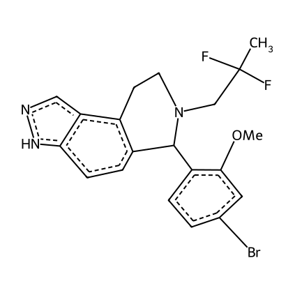 COc1cc(Br)ccc1C1c2ccc3[nH]ncc3c2CCN1CC(C)(F)F